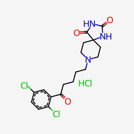 Cl.O=C1NC(=O)C2(CCN(CCCCC(=O)c3cc(Cl)ccc3Cl)CC2)N1